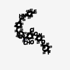 O=C/C=C(\c1ccc(Oc2ccc(OCc3ccc(F)cc3)cn2)c(Cl)c1)N1CCN(Cc2ccc(CCNc3ccc(F)cc3)cc2)CC1